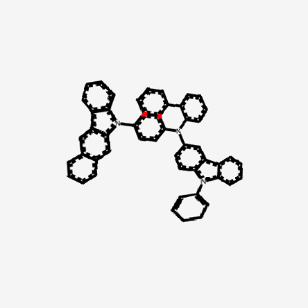 C1=CC(n2c3ccccc3c3cc(N(c4ccc(-n5c6ccccc6c6cc7ccccc7cc65)cc4)c4ccccc4-c4ccccc4)ccc32)=CCC1